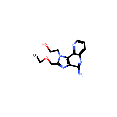 CCOCc1nc2c(N)nc3cccnc3c2n1CCO